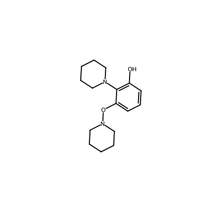 Oc1cccc(ON2CCCCC2)c1N1CCCCC1